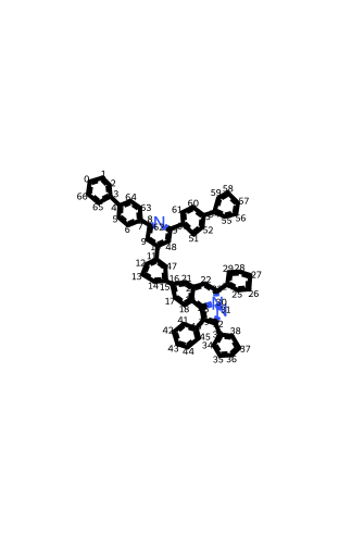 c1ccc(-c2ccc(-c3cc(-c4cccc(-c5ccc6c(c5)cc(-c5ccccc5)n5nc(-c7ccccc7)c(-c7ccccc7)c65)c4)cc(-c4ccc(-c5ccccc5)cc4)n3)cc2)cc1